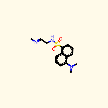 CN=CCNS(=O)(=O)c1cccc2c(N(C)C)cccc12